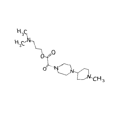 CN(C)CCCOC(=O)C(=O)N1CCN(C2CCN(C)CC2)CC1